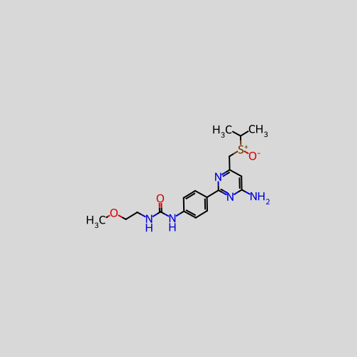 COCCNC(=O)Nc1ccc(-c2nc(N)cc(C[S+]([O-])C(C)C)n2)cc1